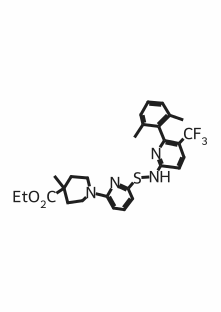 CCOC(=O)C1(C)CCN(c2cccc(SNc3ccc(C(F)(F)F)c(-c4c(C)cccc4C)n3)n2)CC1